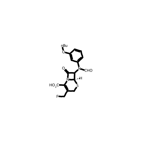 CCCCOc1cccc(N(C=O)C2C(=O)N3C(C(=O)O)=C(CF)CS[C@H]23)c1